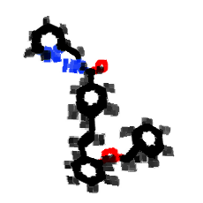 O=C(NCc1ccccn1)c1ccc(C=Cc2ccccc2OCc2ccccc2)cc1